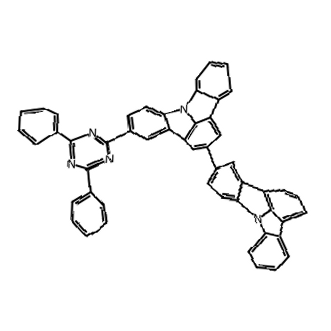 c1ccc(-c2nc(-c3ccccc3)nc(-c3ccc4c(c3)c3cc(-c5ccc6c(c5)c5cccc7c8ccccc8n6c75)cc5c6ccccc6n4c53)n2)cc1